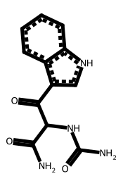 NC(=O)NC(C(N)=O)C(=O)c1c[nH]c2ccccc12